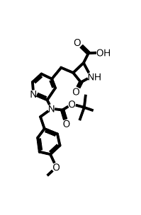 COc1ccc(CN(C(=O)OC(C)(C)C)c2cc(CC3C(=O)NC3C(=O)O)ccn2)cc1